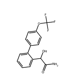 NC(=O)C(O)c1ccccc1-c1ccc(OC(F)(F)F)cc1